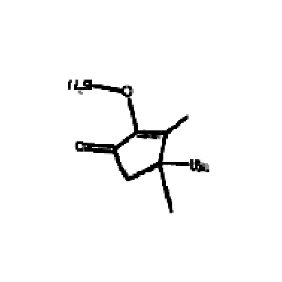 CC1=C(O[SiH3])C(=O)CC1(C)C(C)(C)C